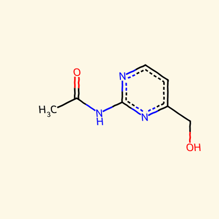 CC(=O)Nc1nccc(CO)n1